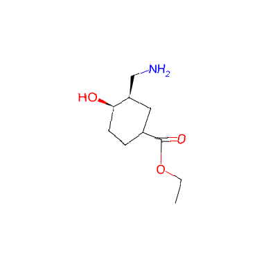 CCOC(=O)C1CC[C@@H](O)[C@@H](CN)C1